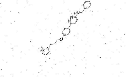 C[C@@H]1CCCN1CCCOc1ccc(-c2ccc(NCc3ccccc3)nn2)cc1